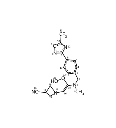 CN(Cc1ccc(-c2noc(C(F)(F)F)n2)cc1)C(=CN1CC(C#N)C1)OO